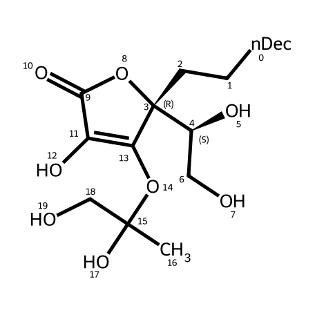 CCCCCCCCCCCC[C@]1([C@@H](O)CO)OC(=O)C(O)=C1OC(C)(O)CO